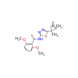 CCC(C)(CC)c1nnc(NC(=S)c2c(OC)cccc2OC)s1